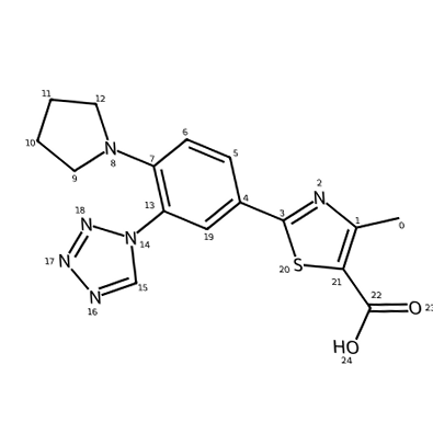 Cc1nc(-c2ccc(N3CCCC3)c(-n3cnnn3)c2)sc1C(=O)O